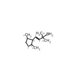 CC1CCC(C)C1C=CC(C)(C)N